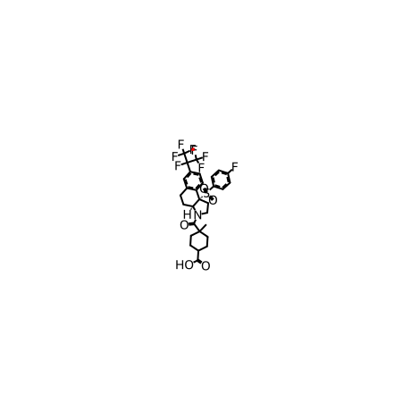 CC1(C(=O)N2CC[C@]3(S(=O)(=O)c4ccc(F)cc4)c4ccc(C(F)(C(F)(F)F)C(F)(F)F)cc4CC[C@H]23)CCC(C(=O)O)CC1